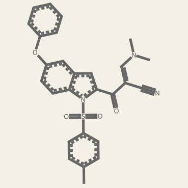 Cc1ccc(S(=O)(=O)n2c(C(=O)C(C#N)=CN(C)C)cc3cc(Oc4ccccc4)ccc32)cc1